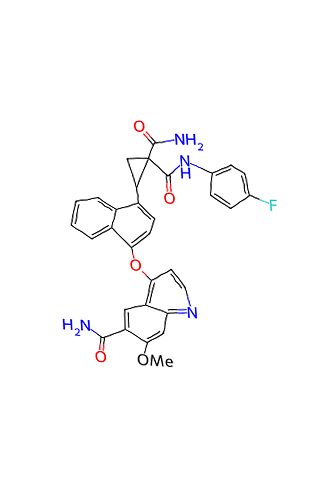 COc1cc2nccc(Oc3ccc(C4CC4(C(N)=O)C(=O)Nc4ccc(F)cc4)c4ccccc34)c2cc1C(N)=O